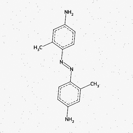 Cc1cc(N)ccc1N=Nc1ccc(N)cc1C